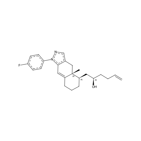 C=CCC[C@@H](O)C[C@H]1CCCC2=Cc3c(cnn3-c3ccc(F)cc3)C[C@@]21C